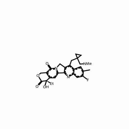 CC[C@@]1(O)C(=O)OCc2c1cc1n(c2=O)Cc2c-1nc1cc(F)c(C)cc1c2CC1(CNC)CC1